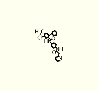 Cc1cc(-c2ccccc2)c(C(=O)Nc2ccc(NC(=O)Cc3ccccn3)cc2)cc1Cl